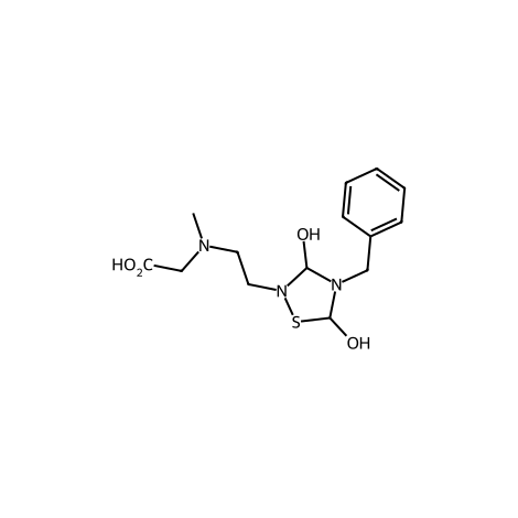 CN(CCN1SC(O)N(Cc2ccccc2)C1O)CC(=O)O